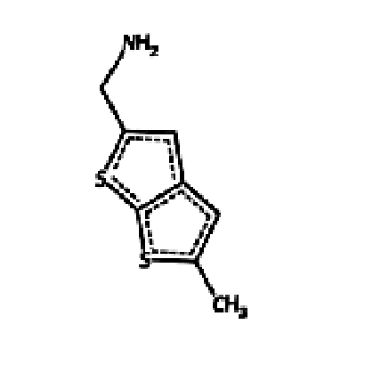 Cc1cc2cc(CN)sc2s1